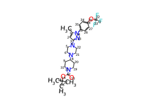 Cc1cc(N2CCN(C3CCN(C(=O)OC(C)(C)C)CC3)CC2)nn1-c1ccc(OC(F)(F)F)cc1